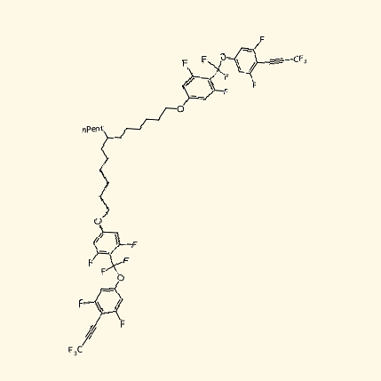 CCCCCC(CCCCCCOc1cc(F)c(C(F)(F)Oc2cc(F)c(C#CC(F)(F)F)c(F)c2)c(F)c1)CCCCCCOc1cc(F)c(C(F)(F)Oc2cc(F)c(C#CC(F)(F)F)c(F)c2)c(F)c1